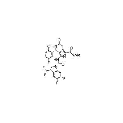 CNC(=O)c1nc(NC(=O)N2C[C@H](C(F)F)c3cc(F)c(F)cc32)c2n1CC(=O)N[C@H]2c1cc(F)ccc1Cl